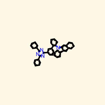 c1ccc(-c2nc(-c3ccccc3)nc(-c3cccc(-c4ccccc4-n4c5ccccc5c5cc6ccccc6cc54)c3)n2)cc1